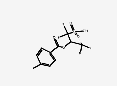 Cc1ccc(C(=O)OC(C(F)(F)F)C(F)(F)S(=O)(=O)O)cc1